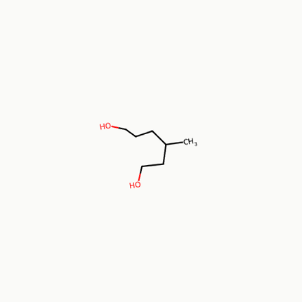 CC(CCO)CCCO